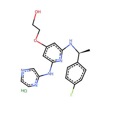 C[C@H](Nc1cc(OCCO)cc(Nc2cnccn2)n1)c1ccc(F)cc1.Cl